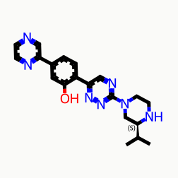 CC(C)[C@H]1CN(c2ncc(-c3ccc(-c4cnccn4)cc3O)nn2)CCN1